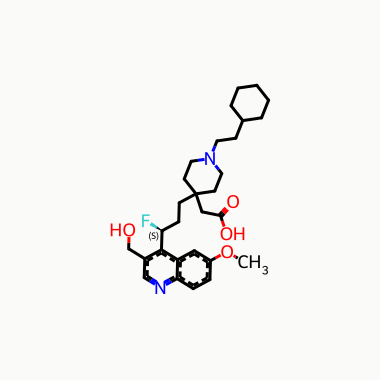 COc1ccc2ncc(CO)c([C@@H](F)CCC3(CC(=O)O)CCN(CCC4CCCCC4)CC3)c2c1